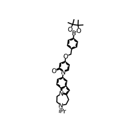 CC(C)N1CCc2cc3cc(-n4ccc(OCc5ccc(B6OC(C)(C)C(C)(C)O6)cc5)cc4=O)ccc3n2CC1